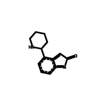 O=C1C=c2c(C3CCCCN3)cccc2=N1